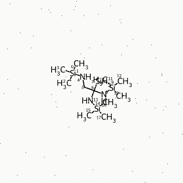 C[Si](C)(C)NCC([SiH3])(N[Si](C)(C)C)N[Si](C)(C)C